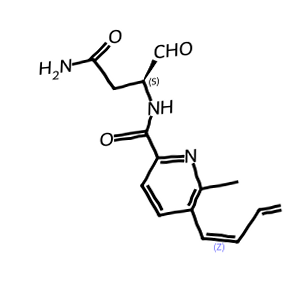 C=C/C=C\c1ccc(C(=O)N[C@H](C=O)CC(N)=O)nc1C